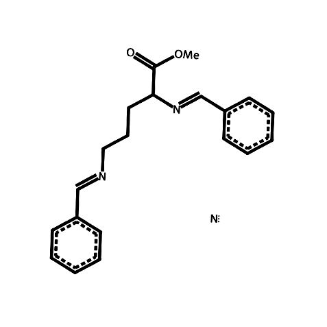 COC(=O)C(CCCN=Cc1ccccc1)N=Cc1ccccc1.[N]